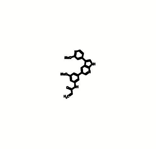 C=CC(=O)Nc1cc(OC)cc(-c2cnc3[nH]cc(-c4ccnc(OC)c4)c3c2)c1